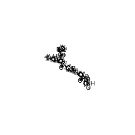 O=C1CCC(N2C(=O)c3ccc(N4CC(F)(CN5CCC(N6Cc7cc(NC(=O)c8cnn9cccnc89)c(N8CCC(N9CCC9)CC8)cc7C6=O)CC5)C4)cc3C2=O)C(=O)N1